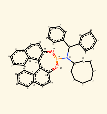 c1ccc(C(c2ccccc2)N(C2CCCCCCC2)p2oc3ccc4ccccc4c3c3c(ccc4ccccc43)o2)cc1